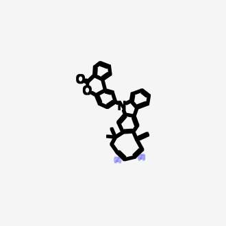 C=C1/C=C\C=C/CC(C)(C)c2cc3c(cc21)c1ccccc1n3-c1ccc2oc(=O)c3ccccc3c2c1